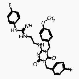 COc1ccc(Cn2c(NCCNC(=N)Nc3ccc(F)cc3)nc(=O)n(Cc3ccc(F)cc3)c2=O)cc1